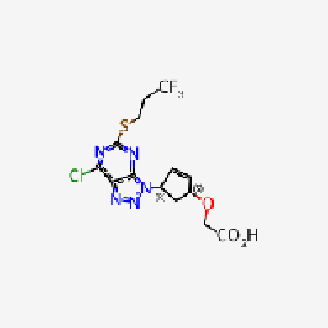 O=C(O)CO[C@@H]1C=C[C@H](n2nnc3c(Cl)nc(SCCC(F)(F)F)nc32)C1